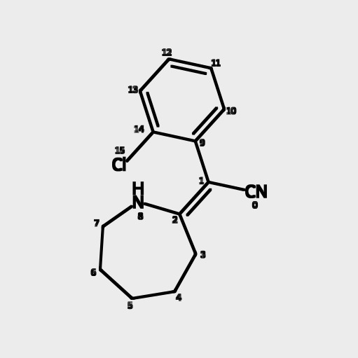 N#CC(=C1CCCCCN1)c1ccccc1Cl